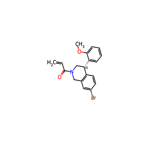 C=CC(=O)N1Cc2cc(Br)ccc2[C@@H](c2ccccc2OC)C1